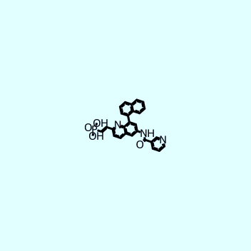 O=C(Nc1cc(-c2cccc3ccccc23)c2nc(/C=C/P(=O)(O)O)ccc2c1)c1cccnc1